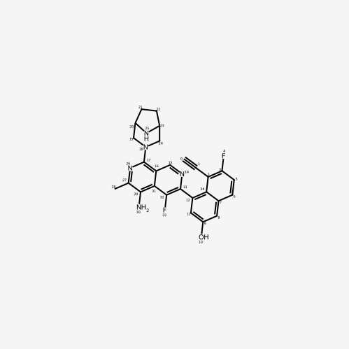 C#Cc1c(F)ccc2cc(O)cc(-c3ncc4c(N5CC6CCC(C5)N6)nc(C)c(N)c4c3F)c12